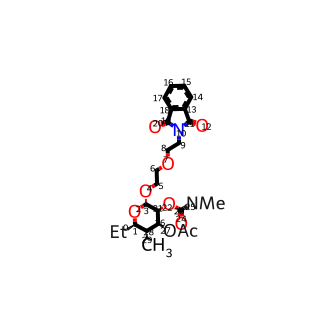 CC[C@H]1O[C@H](OCCOCCN2C(=O)c3ccccc3C2=O)[C@@H](OC(=O)NC)[C@@H](OC(C)=O)[C@@H]1C